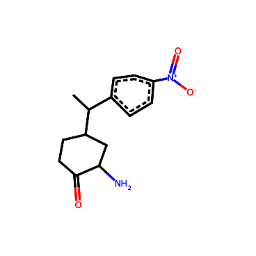 CC(c1ccc([N+](=O)[O-])cc1)C1CCC(=O)C(N)C1